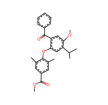 COC(=O)c1cc(C)c(Oc2cc(C(C)C)c(OC)cc2C(=O)c2ccccc2)c(C)c1